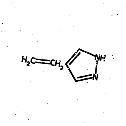 C=C.c1cn[nH]c1